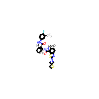 COc1ccc2nc(N3CC4(CCS4)C3)sc2c1C(=O)N[C@@H]1[C@H]2CC[C@H](C2)[C@@H]1C(=O)Nc1ccc(F)c(C(F)(F)F)c1